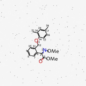 CON=C(C(=O)OC)c1ccccc1COc1ccc(C)cc1C